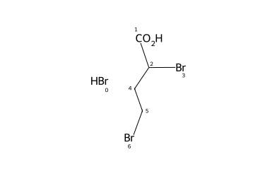 Br.O=C(O)C(Br)CCBr